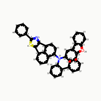 c1ccc(-c2nc3c(s2)-c2cccc4c(N(c5ccc6oc7ccccc7c6c5)c5ccccc5-c5ccccc5)ccc-3c24)cc1